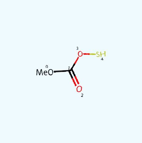 COC(=O)OS